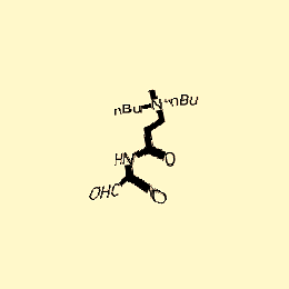 CCCC[N+](C)(CCCC)CCC(=O)NC(=O)C=O